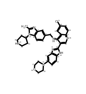 Cc1nc2cc(CNc3c(-c4nc5cc(N6CCOCC6)ccc5[nH]4)cnc4ccc(Cl)cc34)ccc2n1C1CCNCC1